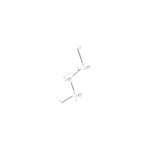 C[Se][Se][Se]C